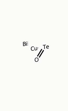 O=[Te].[Bi].[Cu]